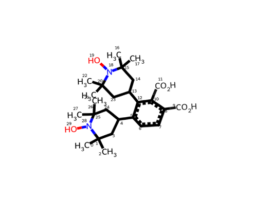 CC1(C)CC(c2ccc(C(=O)O)c(C(=O)O)c2C2CC(C)(C)N(O)C(C)(C)C2)CC(C)(C)N1O